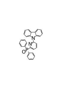 O=P(c1ccccc1)(c1ccccc1)c1cccc(-n2c3ccccc3c3ccccc32)n1